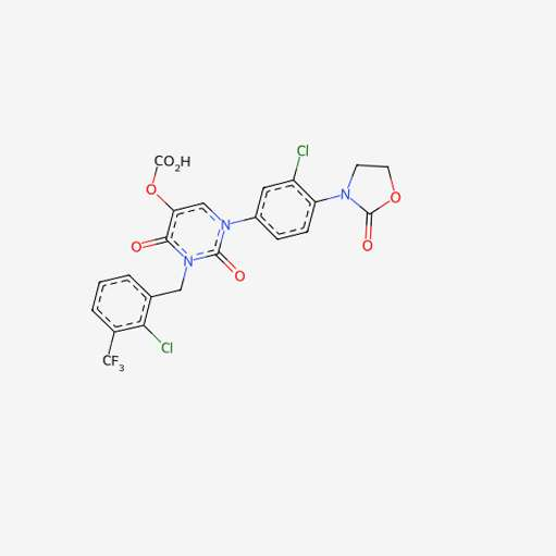 O=C(O)Oc1cn(-c2ccc(N3CCOC3=O)c(Cl)c2)c(=O)n(Cc2cccc(C(F)(F)F)c2Cl)c1=O